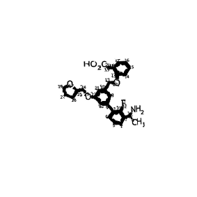 C[C@H](N)c1cccc(-c2cc(COc3ccccc3CC(=O)O)cc(OCC3CCCO3)c2)c1F